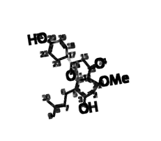 COc1cc(O)c(CC=C(C)C)c2c1C(=O)C[C@@H](C1C=CC(O)=CC1)O2